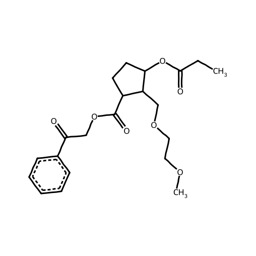 CCC(=O)OC1CCC(C(=O)OCC(=O)c2ccccc2)C1COCCOC